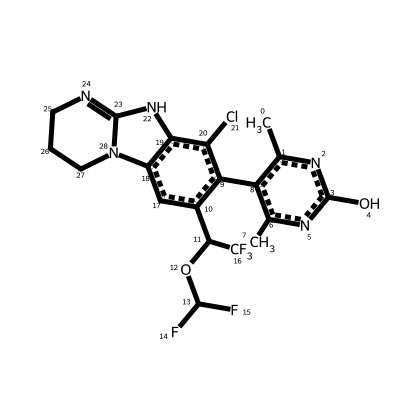 Cc1nc(O)nc(C)c1-c1c(C(OC(F)F)C(F)(F)F)cc2c(c1Cl)NC1=NCCCN12